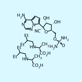 CCC(CC)CN[C@@H](C)C(=O)O.CCC(CC)CN[C@@H](C)C(=O)O.N#C[C@@]1(c2ccc3c(N)ncnn23)O[C@H](COP(N)(N)=O)[C@@H](O)[C@H]1O